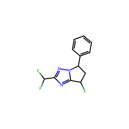 FC(F)c1nc2n(n1)C(c1ccccc1)CC2F